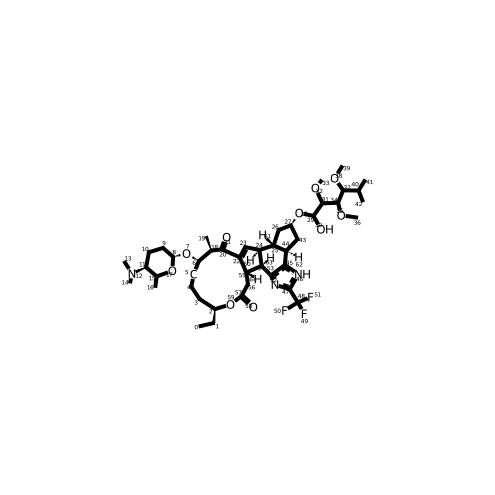 CC[C@H]1CCC[C@H](O[C@H]2CC[C@H](N(C)C)C(C)O2)[C@@H](C)C(=O)C2=C[C@H]3[C@@H]4C[C@H](OC(O)C(OC)C(OC)C(OC)C(C)C)C[C@H]4c4[nH]c(C(F)(F)F)nc4[C@H]3[C@@H]2CC(=O)O1